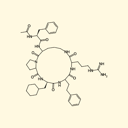 CC(=O)N[C@@H](Cc1ccccc1)C(=O)NC1CCCNC(=O)C(CCCNC(=N)N)NC(=O)C(CCc2ccccc2)NC(=O)[C@@H](CC2CCCCC2)NC(=O)C2CCCN2C1=O